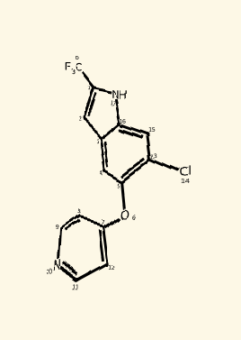 FC(F)(F)c1cc2cc(Oc3ccncc3)c(Cl)cc2[nH]1